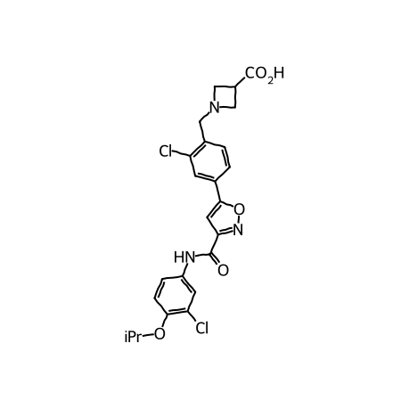 CC(C)Oc1ccc(NC(=O)c2cc(-c3ccc(CN4CC(C(=O)O)C4)c(Cl)c3)on2)cc1Cl